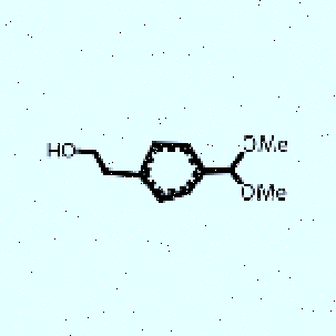 COC(OC)c1ccc(CCO)cc1